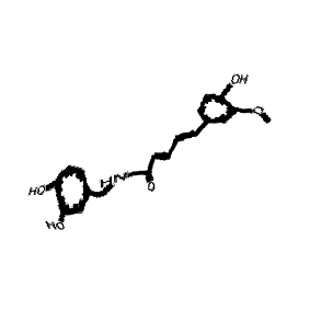 COc1cc(/C=C/C=C/C(=O)NCc2ccc(O)c(O)c2)ccc1O